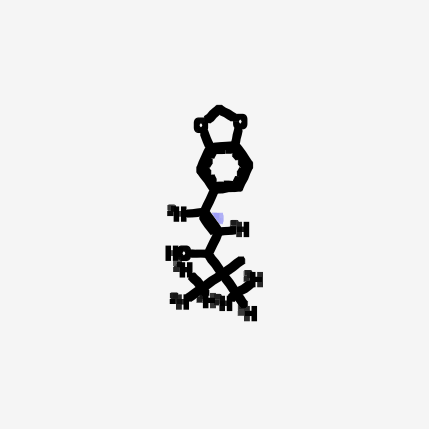 [2H]/C(=C(/[2H])C(O)C(C)(C([2H])([2H])[2H])C([2H])([2H])[2H])c1ccc2c(c1)OCO2